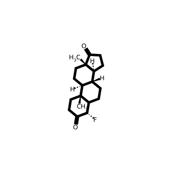 C[C@]12CCC(=O)[C@@H](F)C1CC[C@@H]1[C@@H]2CC[C@]2(C)C(=O)CC[C@@H]12